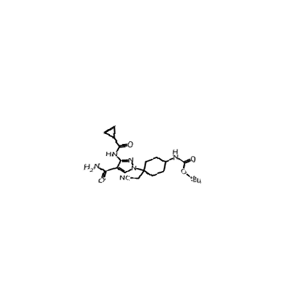 CC(C)(C)OC(=O)NC1CCC(CC#N)(n2cc(C(N)=O)c(NC(=O)C3CC3)n2)CC1